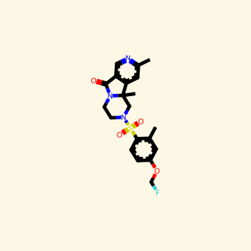 Cc1cc2c(cn1)C(=O)N1CCN(S(=O)(=O)c3ccc(OCF)cc3C)CC21C